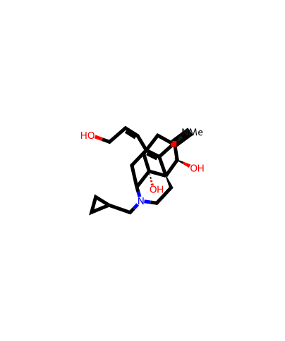 C#CC1=C(/C=C\CO)CC2N(CC3CC3)CC[C@]13[C@H](O)[C@H](NC)CC[C@]23O